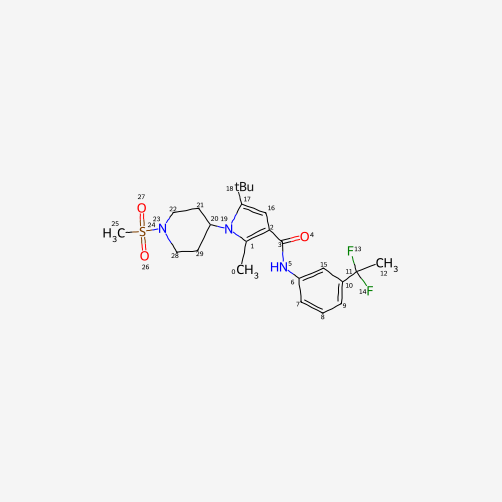 Cc1c(C(=O)Nc2cccc(C(C)(F)F)c2)cc(C(C)(C)C)n1C1CCN(S(C)(=O)=O)CC1